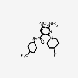 Nc1nc(N2CCC(F)CC2)c(C(=O)NC2CCC(C(F)(F)F)CC2)cc1[N+](=O)[O-]